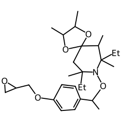 CCC1(C)CC2(OC(C)C(C)O2)C(C)C(C)(CC)N1OC(C)c1ccc(OCC2CO2)cc1